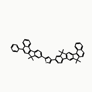 CC1(C)c2cc(-c3csc(-c4ccc5c(c4)C(C)(C)c4cc(-c6ccccc6)c6ccccc6c4-5)c3)ccc2-c2cc3c(cc21)-c1c(ccc2ccccc12)C3(C)C